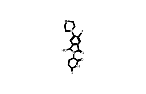 O=C1CCC(N2C(=O)c3cc(F)c(N4CCNCC4)cc3C2O)C(=O)N1